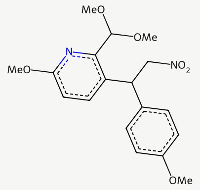 COc1ccc(C(C[N+](=O)[O-])c2ccc(OC)nc2C(OC)OC)cc1